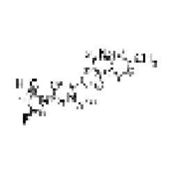 Cc1ccc2c(OC3CCN(CC(=O)N4C[C@@H](F)C[C@H]4C)CC3)ccnc2c1